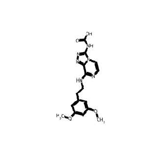 COc1cc(CCNc2nccn3c(NC(=O)O)nnc23)cc(OC)c1